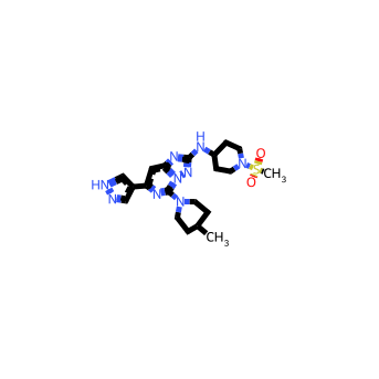 CC1CCN(c2nc(-c3cn[nH]c3)cc3nc(NC4CCN(S(C)(=O)=O)CC4)nn23)CC1